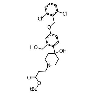 CC(C)(C)OC(=O)CCN1CCC(O)(c2ccc(OCc3c(Cl)cccc3Cl)cc2CO)CC1